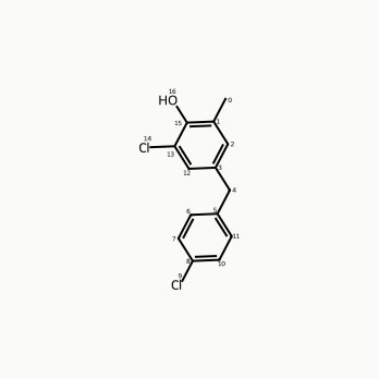 Cc1cc(Cc2ccc(Cl)cc2)cc(Cl)c1O